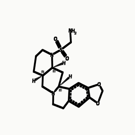 NCS(=O)(=O)N1CCC[C@@H]2CN3CCc4cc5c(cc4[C@@H]3C[C@@H]21)OCO5